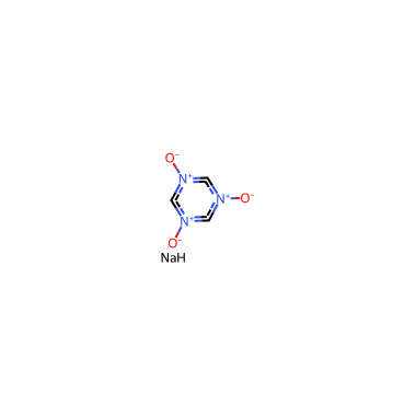 [NaH].[O-][n+]1c[n+]([O-])c[n+]([O-])c1